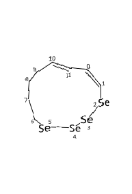 C1=C\[Se][Se][Se][Se]CCCC/C=C/1